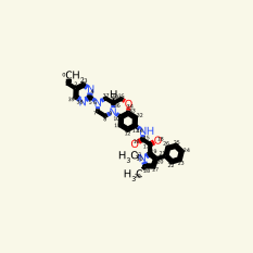 C=Cc1cnc(N2CCN3c4ccc(NC(=O)C(=O)c5c(-c6ccccc6)cc(C)n5C)cc4OC[C@H]3C2)nc1